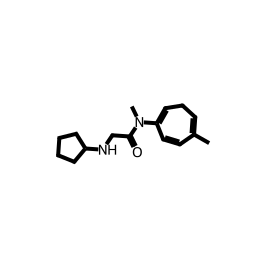 CC1=CCC=C(N(C)C(=O)CNC2CCCC2)C=C1